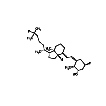 C=C1/C(=C\C=C2/CCC[C@]3(C)[C@@H]([C@H](C)CCCC(C)(C)F)CC[C@@H]23)C[C@@H](F)C[C@@H]1O